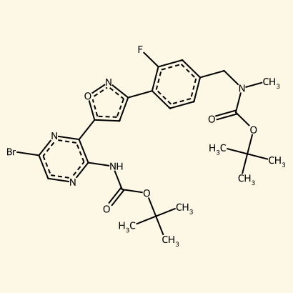 CN(Cc1ccc(-c2cc(-c3nc(Br)cnc3NC(=O)OC(C)(C)C)on2)c(F)c1)C(=O)OC(C)(C)C